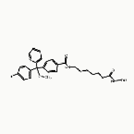 COC(c1ccc(F)cc1)(c1ccc(C(=O)NCCCCCCC(=O)NO)cc1)c1ccccn1